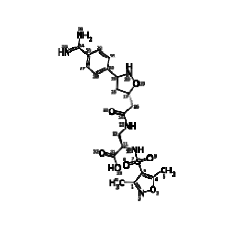 Cc1noc(C)c1S(=O)(=O)N[C@H](CNC(=O)C[C@@H]1CC(c2ccc(C(=N)N)cc2)NO1)C(=O)O